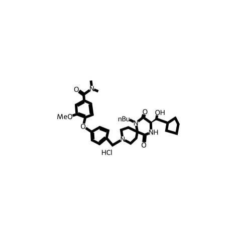 CCCCN1C(=O)[C@@H](C(O)C2CCCC2)NC(=O)C12CCN(Cc1ccc(Oc3ccc(C(=O)N(C)C)cc3OC)cc1)CC2.Cl